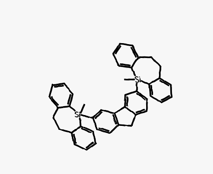 C[Si]1(c2ccc3c(c2)-c2cc([Si]4(C)c5ccccc5CCc5ccccc54)ccc2C3)c2ccccc2CCc2ccccc21